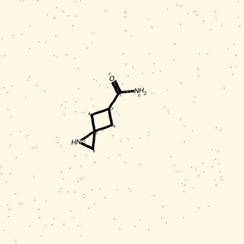 NC(=O)C1CC2(CN2)C1